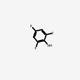 [NH]c1c(F)cc(F)cc1F